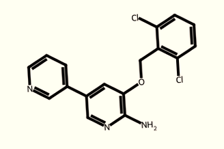 Nc1ncc(-c2cccnc2)cc1OCc1c(Cl)cccc1Cl